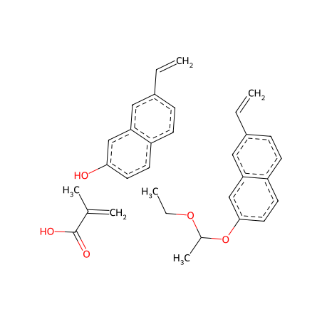 C=C(C)C(=O)O.C=Cc1ccc2ccc(O)cc2c1.C=Cc1ccc2ccc(OC(C)OCC)cc2c1